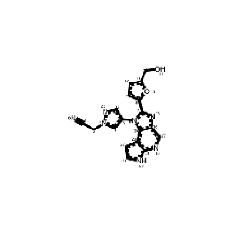 N#CCn1cc(-n2c(-c3ccc(CO)o3)nc3cnc4[nH]ccc4c32)cn1